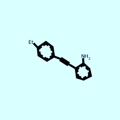 CCc1ccc(C#Cc2ccccc2N)cc1